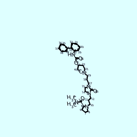 CN(C)C(=O)[C@@H]1CCCN1CCCN1CCN(CCCN2CCC(OC(=O)Nc3ccccc3-c3ccccc3)CC2)C1=O